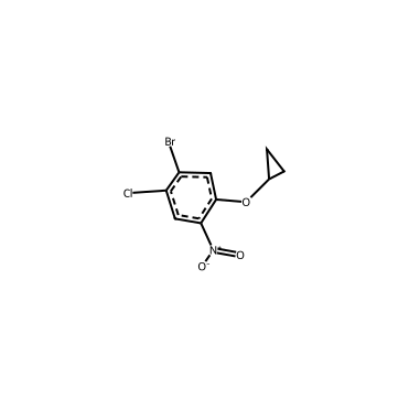 O=[N+]([O-])c1cc(Cl)c(Br)cc1OC1CC1